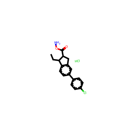 CCC1c2ccc(-c3ccc(Cl)cc3)cc2CC1C(=O)ON.Cl